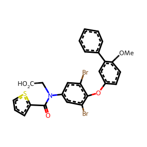 COc1ccc(Oc2c(Br)cc(N(CC(=O)O)C(=O)c3cccs3)cc2Br)cc1-c1ccccc1